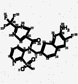 CS(=O)(=O)c1ncccc1N(Cc1ccc2cc(F)c(N)nc2c1)C(=O)c1cnc(C(F)(F)F)nc1